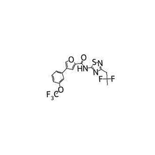 CC(F)(F)Cc1nsc(NC(=O)c2cc(-c3cccc(OC(F)(F)F)c3)co2)n1